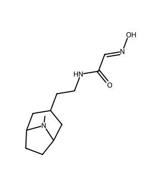 CN1C2CCC1CC(CCNC(=O)C=NO)C2